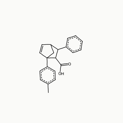 Cc1ccc(C23C=CC(C2)C(c2ccccc2)C3C(=O)O)cc1